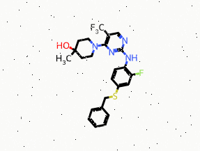 CC1(O)CCN(c2nc(Nc3ccc(SCc4ccccc4)cc3F)ncc2C(F)(F)F)CC1